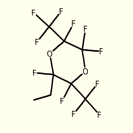 CCC1(F)OC(F)(C(F)(F)F)C(F)(F)OC1(F)C(F)(F)F